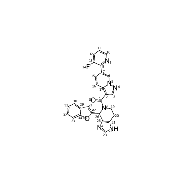 O=C(c1cnn2cc(-c3ncccc3F)ccc12)N1CCc2[nH]cnc2[C@H]1c1cc2ccccc2o1